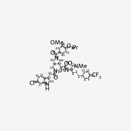 CNC(=O)[C@@H](CCCc1ccc(C(F)(F)F)cc1)NC(=O)C1CN(C(=O)Cc2c[nH]c3cc(Cl)ccc23)CC2CN(C(=O)c3ccc(OC(C)C)c(OC)c3)CC21